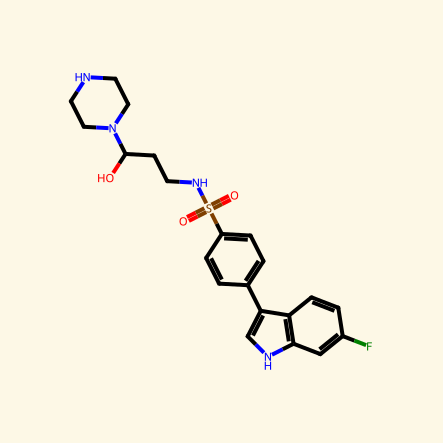 O=S(=O)(NCCC(O)N1CCNCC1)c1ccc(-c2c[nH]c3cc(F)ccc23)cc1